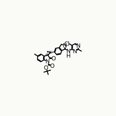 Cc1ccc2c(c1)[C@]1(C[C@H]1c1ccc3c(c1)CN=C3Nc1nc(C)ncc1Cl)C(=O)N2C(=O)OC(C)(C)C